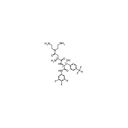 NCCN(CCN)C(=O)C[C@H](N)C(=O)N[C@H](C(=O)Nc1cc(F)c(F)c(F)c1)[C@H](O)c1ccc(C(F)(F)F)cc1